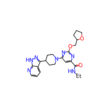 CCNC(=O)c1cc(N2CCC(c3n[nH]c4ncccc34)CC2)nc(OCC2CCCO2)n1